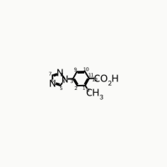 Cc1cc(-n2cncn2)ccc1C(=O)O